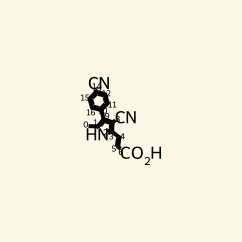 Cc1[nH]c(C=CC(=O)O)c(C#N)c1-c1ccc(C#N)cc1